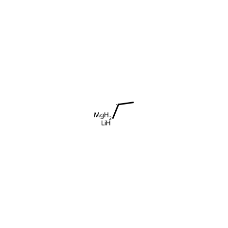 C[CH]C.[LiH].[MgH2]